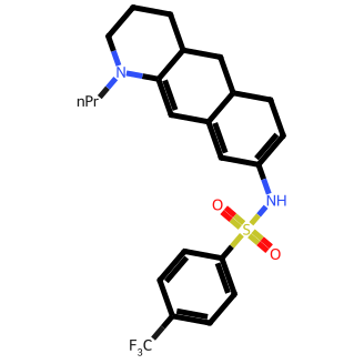 CCCN1CCCC2CC3CC=C(NS(=O)(=O)c4ccc(C(F)(F)F)cc4)C=C3C=C21